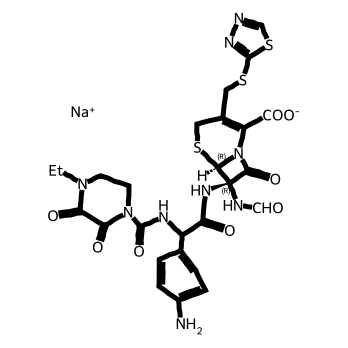 CCN1CCN(C(=O)NC(C(=O)N[C@]2(NC=O)C(=O)N3C(C(=O)[O-])=C(CSc4nncs4)CS[C@@H]32)c2ccc(N)cc2)C(=O)C1=O.[Na+]